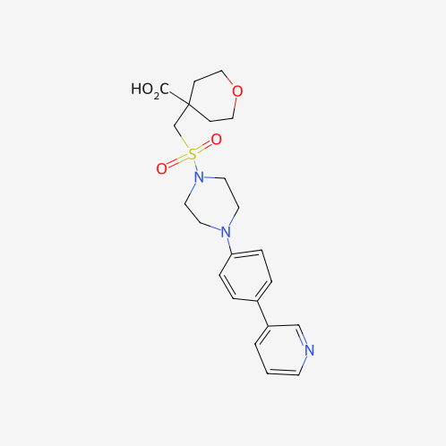 O=C(O)C1(CS(=O)(=O)N2CCN(c3ccc(-c4cccnc4)cc3)CC2)CCOCC1